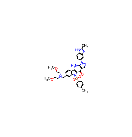 COCCN(CCOC)Cc1ccc2cc(C(=O)c3cnn(-c4ccc5[nH]c(C)nc5c4)c3N)n(S(=O)(=O)c3ccc(C)cc3)c2c1